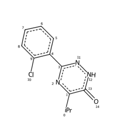 CC(C)c1nc(-c2ccccc2Cl)n[nH]c1=O